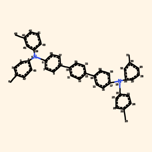 Cc1ccc(N(c2ccc(-c3ccc(-c4ccc(N(c5ccc(C)cc5)c5cccc(C)c5)cc4)cc3)cc2)c2cccc(C)c2)cc1